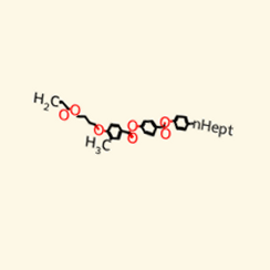 C=CC(=O)OCCCCOc1ccc(C(=O)Oc2ccc(C(=O)Oc3ccc(CCCCCCC)cc3)cc2)cc1C